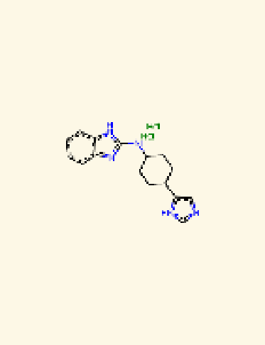 Cl.Cl.c1ccc2[nH]c(NC3CCC(c4cnc[nH]4)CC3)nc2c1